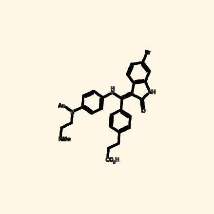 CNCCN(C(C)=O)c1ccc(NC(=C2C(=O)Nc3cc(Br)ccc32)c2ccc(CCC(=O)O)cc2)cc1